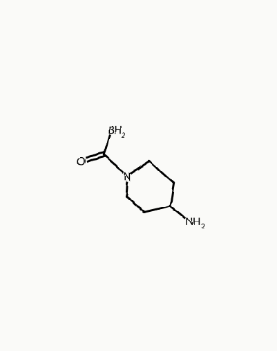 BC(=O)N1CCC(N)CC1